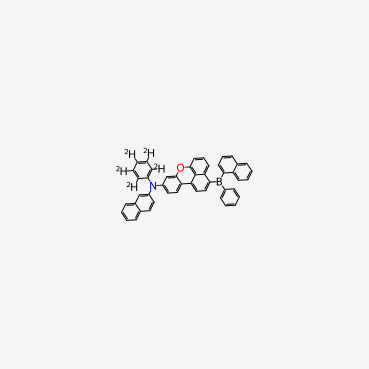 [2H]c1c([2H])c([2H])c(N(c2ccc3c(c2)Oc2cccc4c(B(c5ccccc5)c5cccc6ccccc56)ccc-3c24)c2ccc3ccccc3c2)c([2H])c1[2H]